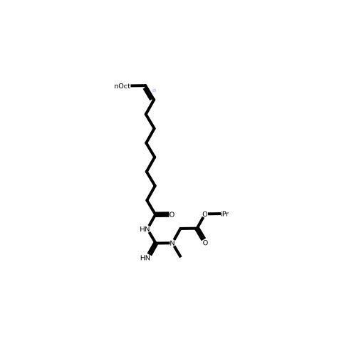 CCCCCCCC/C=C\CCCCCCCC(=O)NC(=N)N(C)CC(=O)OC(C)C